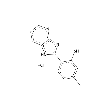 Cc1ccc(-c2nc3ncccc3[nH]2)c(S)c1.Cl